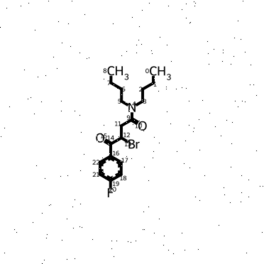 CCCCN(CCCC)C(=O)CC(Br)C(=O)c1ccc(F)cc1